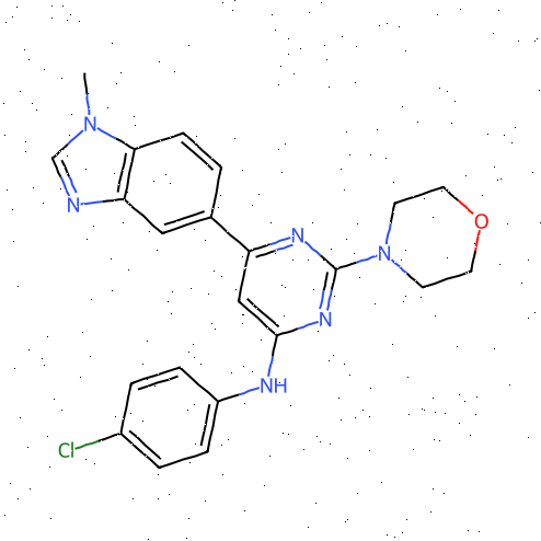 Cn1cnc2cc(-c3cc(Nc4ccc(Cl)cc4)nc(N4CCOCC4)n3)ccc21